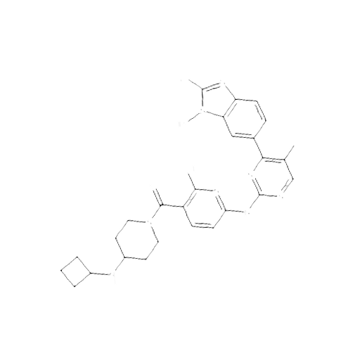 Cc1nc(Nc2ncc(F)c(-c3ccc4nc(C)n(C(C)C)c4c3)n2)ccc1C(=O)N1CCC(NC2CCC2)CC1